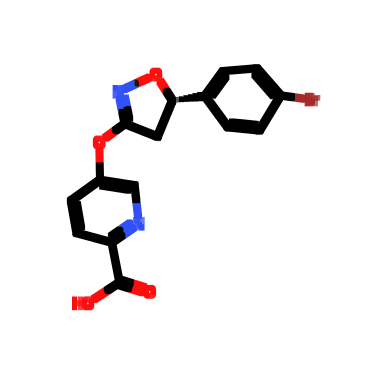 O=C(O)c1ccc(OC2=NO[C@H](c3ccc(Br)cc3)C2)cn1